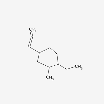 C=C=CC1CCC(CC)C(C)C1